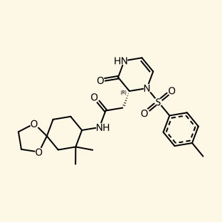 Cc1ccc(S(=O)(=O)N2C=CNC(=O)[C@H]2CC(=O)NC2CCC3(CC2(C)C)OCCO3)cc1